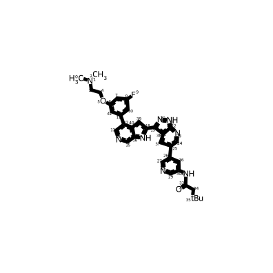 CN(C)CCOc1cc(F)cc(-c2cncc3[nH]c(-c4n[nH]c5ncc(-c6cncc(NC(=O)CC(C)(C)C)c6)cc45)cc23)c1